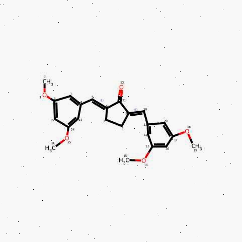 COc1cc(/C=C2\CC/C(=C\c3cc(OC)cc(OC)c3)C2=O)cc(OC)c1